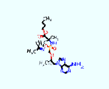 CCCCOC(=O)C(C)(C)NP(=O)(CO[C@H](C)Cn1cnc2c(N)ncnc21)ON=C(C)C